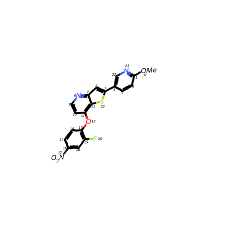 COc1ccc(-c2cc3nccc(Oc4ccc([N+](=O)[O-])cc4F)c3s2)cn1